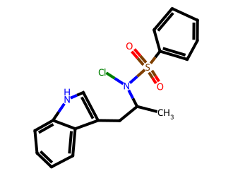 CC(Cc1c[nH]c2ccccc12)N(Cl)S(=O)(=O)c1ccccc1